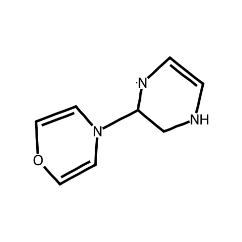 C1=CNCC(N2C=COC=C2)[N]1